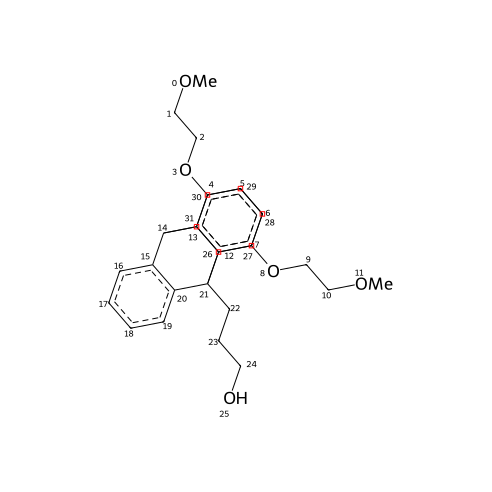 COCCOc1ccc(OCCOC)c2c1C1c3ccccc3C2(CCCO)c2ccccc21